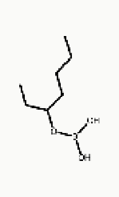 CCCCC(CC)OB(O)O